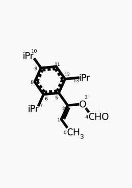 CC=C(OC=O)c1c(C(C)C)cc(C(C)C)cc1C(C)C